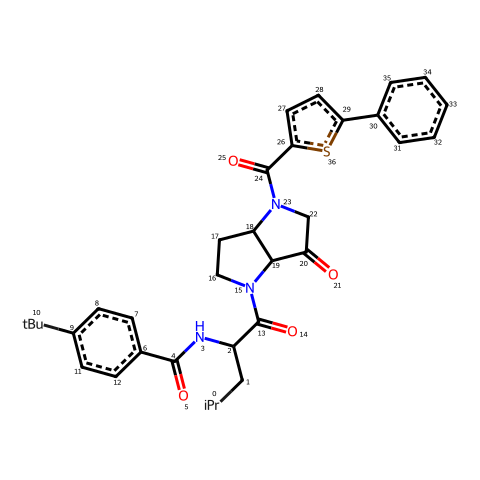 CC(C)CC(NC(=O)c1ccc(C(C)(C)C)cc1)C(=O)N1CCC2C1C(=O)CN2C(=O)c1ccc(-c2ccccc2)s1